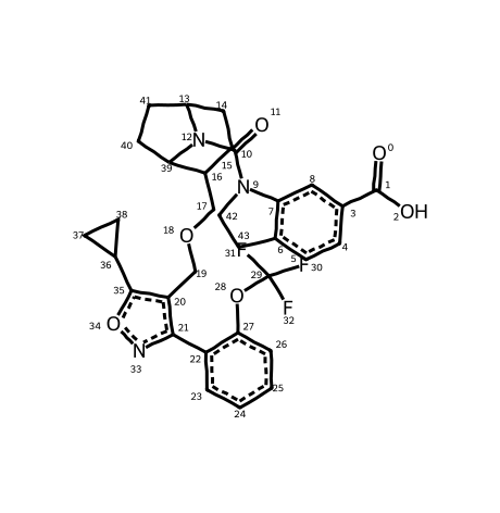 O=C(O)c1ccc2c(c1)N(C(=O)N1C3CCC(COCc4c(-c5ccccc5OC(F)(F)F)noc4C4CC4)C1CC3)CC2